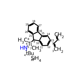 C=CC=C.CC(C)(C)[NH][Ti]([CH3])([CH3])[CH]1c2ccccc2-c2ccccc21.[SiH4]